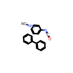 N#CN.O=C=Nc1ccccc1.c1ccc(-c2ccccc2)cc1